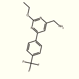 CCOc1nc(CN)cc(-c2ccc(C(F)(F)F)cc2)n1